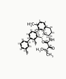 Cc1ccc2n(c1=O)[C@@H](Cc1cccc(-c3cccc(F)c3)c1F)[C@@H](NC(=O)C(=O)N(C)C)CC2